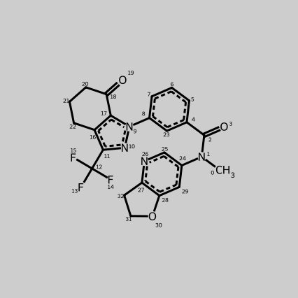 CN(C(=O)c1cccc(-n2nc(C(F)(F)F)c3c2C(=O)CCC3)c1)c1cnc2c(c1)OCC2